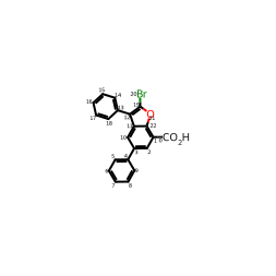 O=C(O)c1cc(-c2ccccc2)cc2c(-c3ccccc3)c(Br)oc12